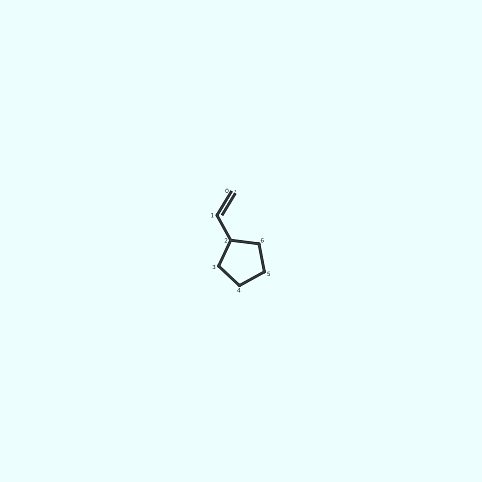 [CH]=CC1CCCC1